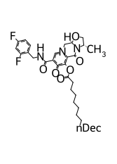 CCCCCCCCCCCCCCCCCC(=O)Oc1c2n(cc(C(=O)NCc3ccc(F)cc3F)c1=O)C[C@H]1OC[C@H](C)N1C2=O